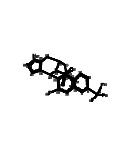 O=S(=O)(c1ccc(C(F)(F)F)cc1)N1C2Cc3cccc(F)c3C1c1cn[nH]c1C2